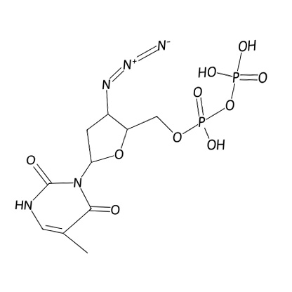 Cc1c[nH]c(=O)n(C2CC(N=[N+]=[N-])C(COP(=O)(O)OP(=O)(O)O)O2)c1=O